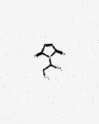 NCC(N)N1C(=O)C=CC1=O